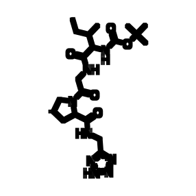 CCC(C)C(NC(=O)OC(C)(C)C)C(=O)NCC(=O)N1C[CH]CC1C(=O)NCc1nn[nH]n1